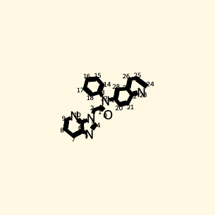 O=C(Cn1cnc2cccnc21)N(c1ccccc1)c1ccc2ncccc2c1